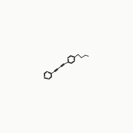 CCCCc1ccc(C#CC#Cc2ccccc2)cc1